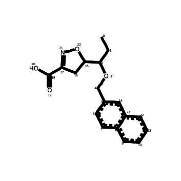 CCC(OCc1ccc2ccccc2c1)C1CC(C(=O)O)=NO1